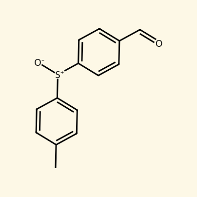 Cc1ccc([S+]([O-])c2ccc(C=O)cc2)cc1